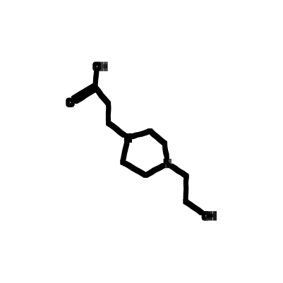 O=C(O)CCN1CCN(CCO)CC1